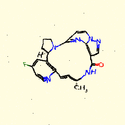 C[C@@H]1/C=C/c2ncc(F)cc2[C@H]2CCCN2c2ccn3ncc(c3n2)C(=O)N1